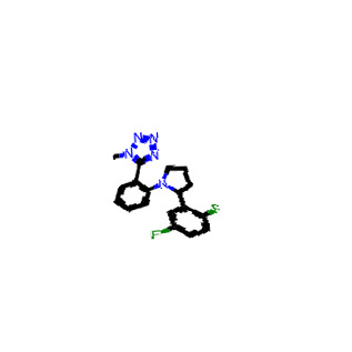 Cn1nnnc1-c1cc[c]cc1N1CCCC1c1cc(F)ccc1F